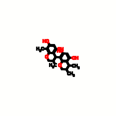 Cc1c(O)cc(O)c2c1OCC(C)C2c1c(O)cc(O)c2c1OCC(C)C2C